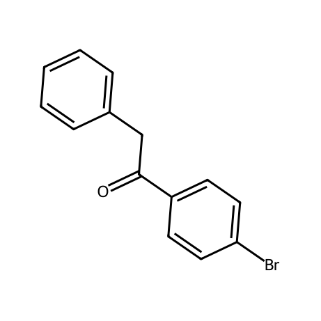 O=C(Cc1ccccc1)c1ccc(Br)cc1